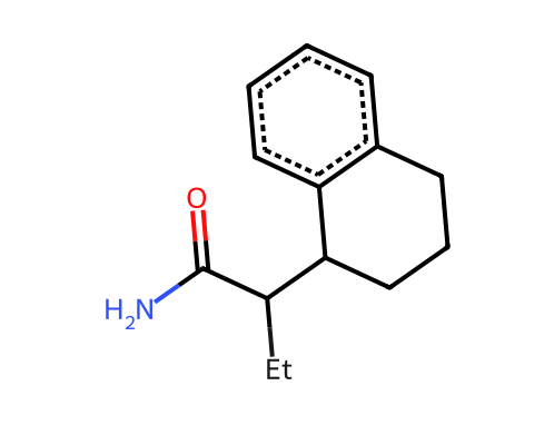 CCC(C(N)=O)C1CCCc2ccccc21